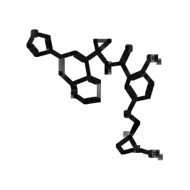 Cc1ccc(OC[C@@H]2CCN2C)cc1C(=O)NC1(c2cc(-c3ccoc3)cc3ncccc23)CC1